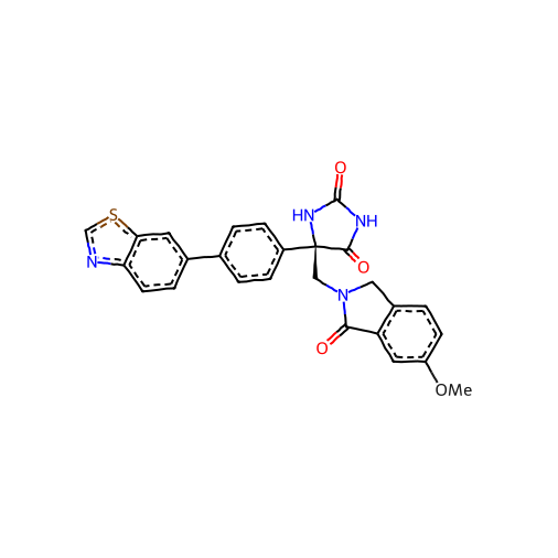 COc1ccc2c(c1)C(=O)N(C[C@@]1(c3ccc(-c4ccc5ncsc5c4)cc3)NC(=O)NC1=O)C2